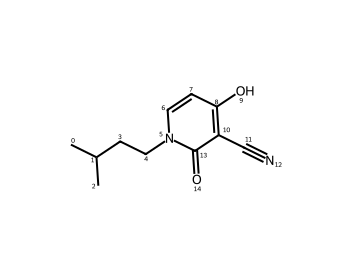 CC(C)CCn1ccc(O)c(C#N)c1=O